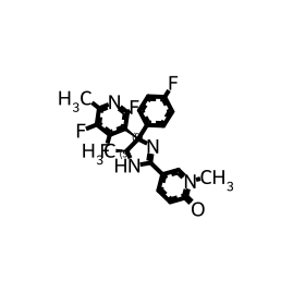 Cc1nc(F)c([C@@]2(c3ccc(F)cc3)N=C(c3ccc(=O)n(C)c3)N[C@H]2C)c(F)c1F